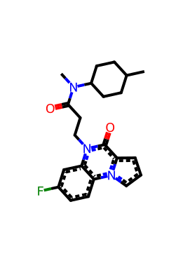 CC1CCC(N(C)C(=O)CCn2c(=O)c3cccn3c3ccc(F)cc32)CC1